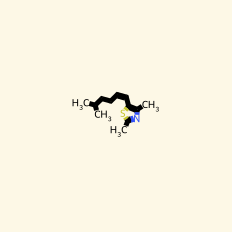 Cc1nc(C)c(/C=C\CCC(C)C)s1